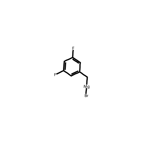 Fc1cc(F)cc([CH2][Mg][Br])c1